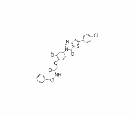 COc1cc(-n2cnc3cc(-c4ccc(Cl)cc4)sc3c2=O)ccc1OCC(=O)NC1CC1c1ccccc1